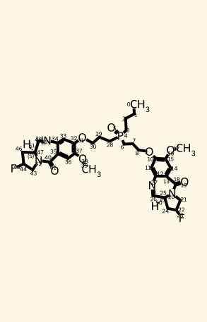 CCCCP(=O)(CCCOc1cc2c(cc1OC)C(=O)N1CC(F)C[C@H]1C=N2)CCCOc1cc2c(cc1OC)C(=O)N1CC(F)C[C@H]1CN2